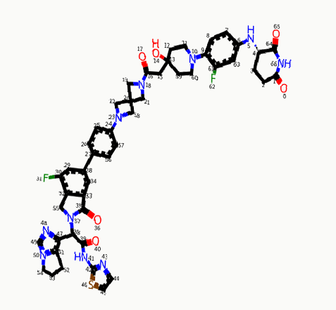 O=C1CC[C@H](Nc2ccc(N3CCC(O)(CC(=O)N4CC5(C4)CN(c4ccc(-c6cc(F)c7c(c6)C(=O)N(C(C(=O)Nc6nccs6)c6ncn8c6CCC8)C7)cc4)C5)CC3)c(F)c2)C(=O)N1